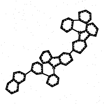 c1ccc(-c2ccccc2-n2c3ccccc3c3ccc(-c4ccc5c(c4)c4ccccc4n5-c4ccccc4-c4cccc(-c5ccc6ccccc6c5)c4)cc32)cc1